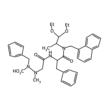 CCOC(OCC)C(C)N(Cc1cccc2ccccc12)C(=O)C(Cc1ccccc1)NC(=O)CN(C)N(Cc1ccccc1)C(=O)O